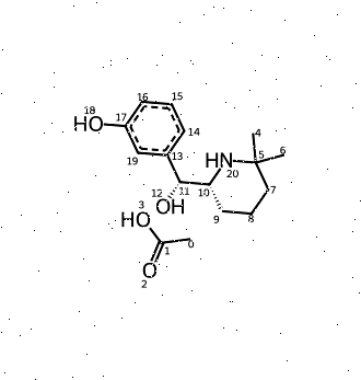 CC(=O)O.CC1(C)CCC[C@H]([C@H](O)c2cccc(O)c2)N1